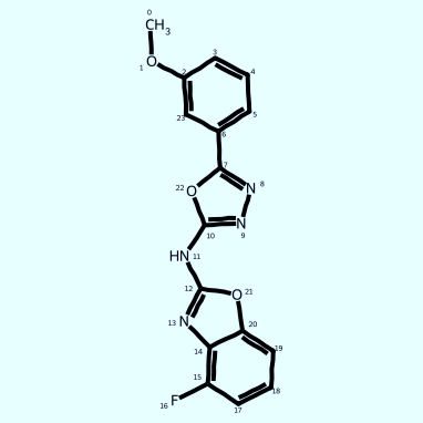 COc1cccc(-c2nnc(Nc3nc4c(F)cccc4o3)o2)c1